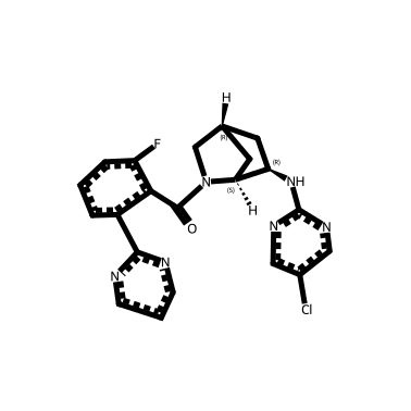 O=C(c1c(F)cccc1-c1ncccn1)N1C[C@@H]2C[C@@H](Nc3ncc(Cl)cn3)[C@@H]1C2